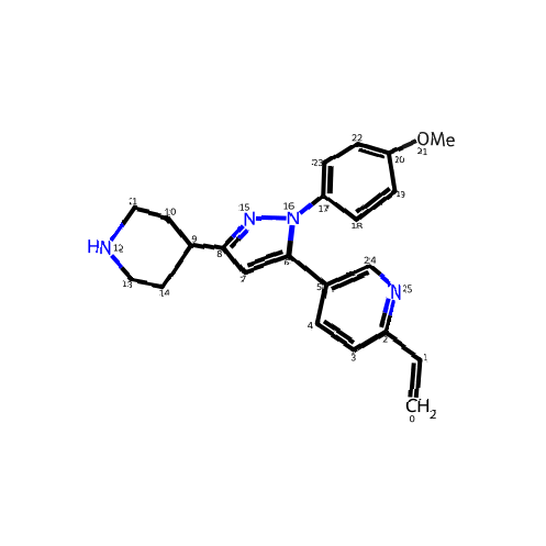 C=Cc1ccc(-c2cc(C3CCNCC3)nn2-c2ccc(OC)cc2)cn1